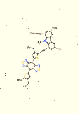 CC(C)Cc1cc(-c2c3c(c(-c4cc(CC(C)C)c(C(C)(C)C)s4)c4nsnc24)N=S=N3)sc1C#Cc1cc(C(C)(C)C)cc2c3cc(C(C)(C)C)cc(C#CC(C)(C)C)c3n(C)c12